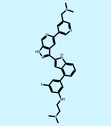 CN(C)CCNc1cc(F)cc(-c2cccc3[nH]c(-c4n[nH]c5cnc(-c6cncc(CN(C)C)c6)cc45)cc23)c1